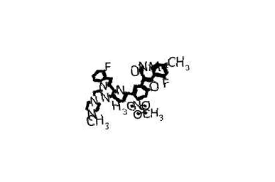 CNC(=O)c1c(-c2ccc(C)cc2F)oc2cc(N(C)S(C)(=O)=O)c(-c3ccc4nc(CN5CCN(C)CC5)n5c6cccc(F)c6cc5c4n3)cc12